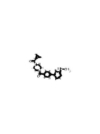 CNc1cccc(-c2ccc(C(=O)N3CCN(C(=O)C4CC4)CC3)cc2)c1